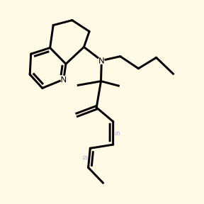 C=C(/C=C\C=C/C)C(C)(C)N(CCCC)C1CCCc2cccnc21